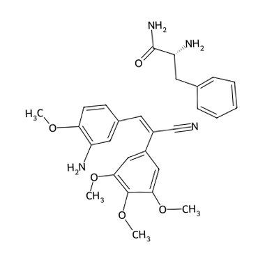 COc1ccc(/C=C(/C#N)c2cc(OC)c(OC)c(OC)c2)cc1N.NC(=O)[C@H](N)Cc1ccccc1